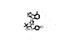 CC(C)(C)C(O)C(Oc1ccc(Cl)cc1)n1cncn1.Cc1cccc2sc3nncn3c12